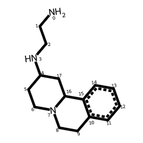 NCCNC1CCN2CCc3ccccc3C2C1